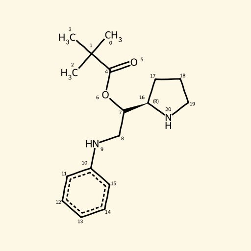 CC(C)(C)C(=O)OC(CNc1ccccc1)[C@H]1CCCN1